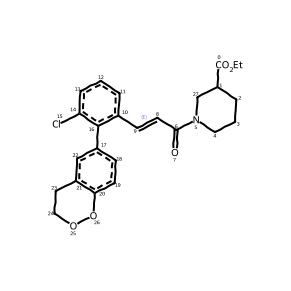 CCOC(=O)C1CCCN(C(=O)/C=C/c2cc[c]c(Cl)c2-c2ccc3c(c2)CCOO3)C1